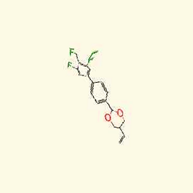 C=CC1COC(c2ccc(-c3cc(F)c(CF)c(F)c3)cc2)OC1